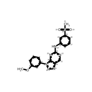 COc1cccc(-n2nnc3cnc(Nc4cccc(S(C)(=O)=O)c4)nc32)c1